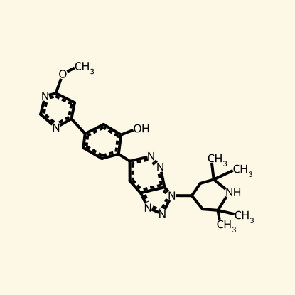 COc1cc(-c2ccc(-c3cc4nnn(C5CC(C)(C)NC(C)(C)C5)c4nn3)c(O)c2)ncn1